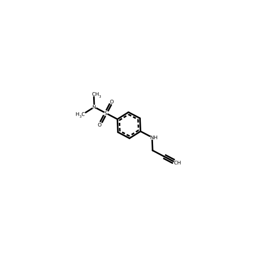 C#CCNc1ccc(S(=O)(=O)N(C)C)cc1